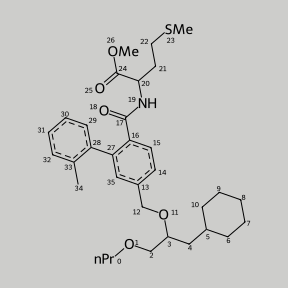 CCCOCC(CC1CCCCC1)OCc1ccc(C(=O)NC(CCSC)C(=O)OC)c(-c2ccccc2C)c1